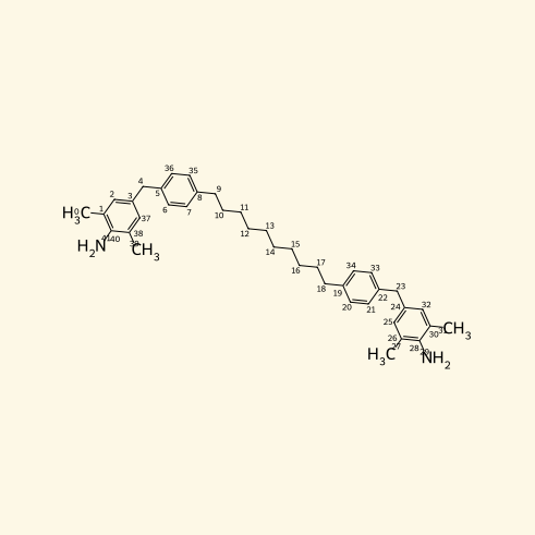 Cc1cc(Cc2ccc(CCCCCCCCCCc3ccc(Cc4cc(C)c(N)c(C)c4)cc3)cc2)cc(C)c1N